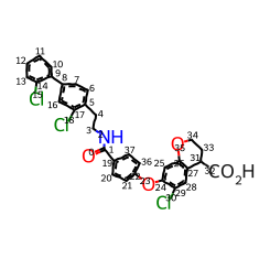 O=C(NCCc1ccc(-c2ccccc2Cl)cc1Cl)c1ccc(Oc2cc3c(cc2Cl)C(C(=O)O)CCO3)cc1